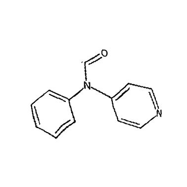 O=[C]N(c1ccccc1)c1ccncc1